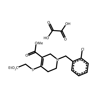 CCOC(=O)CSC1=C(C(=O)OC)CN(Cc2ccccc2Cl)CC1.O=C(O)C(=O)O